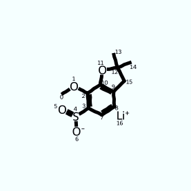 COc1c(S(=O)[O-])ccc2c1OC(C)(C)C2.[Li+]